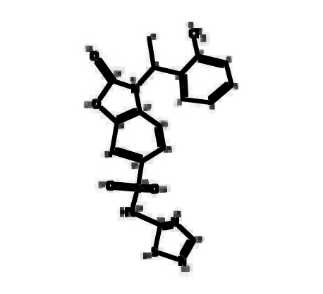 CC(c1ccccc1C(F)(F)F)n1c(=O)oc2cc(S(=O)(=O)Nc3ncns3)ccc21